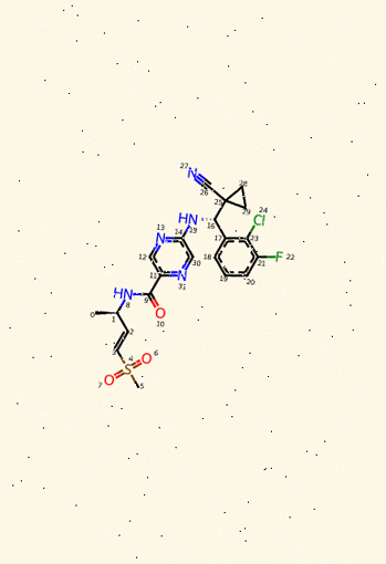 C[C@H](/C=C/S(C)(=O)=O)NC(=O)c1cnc(N[C@@H](c2cccc(F)c2Cl)C2(C#N)CC2)cn1